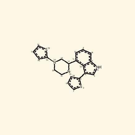 c1csc(-c2c[nH]c3cccc(C4CN(c5cccs5)CC[N]4)c23)c1